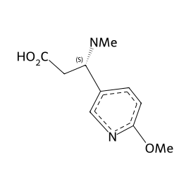 CN[C@@H](CC(=O)O)c1ccc(OC)nc1